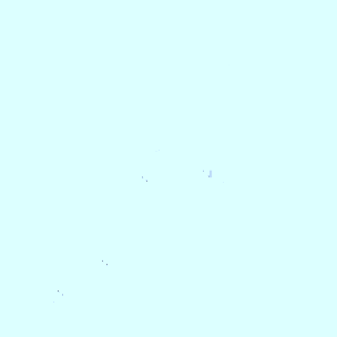 Cc1nc(N)ccc1CNC(=O)[C@@H](N)Cc1cccc2ccccc12